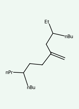 C=C(CCC(CCC)CCCC)CC(CC)CCCC